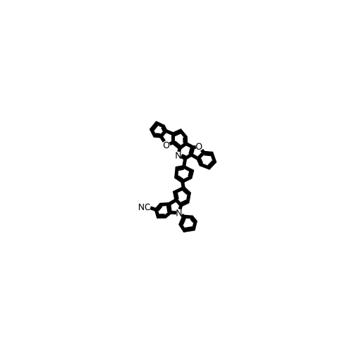 N#Cc1ccc2c(c1)c1cc(-c3ccc(-c4nc5c(ccc6c7ccccc7oc65)c5oc6ccccc6c45)cc3)ccc1n2-c1ccccc1